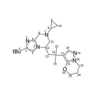 CC(C)(C)c1cn2c(n1)CN(C1CC1)CC2CC(C)(C)c1cnn2c1OCCC2